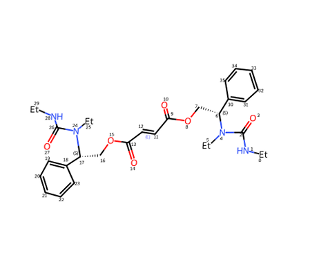 CCNC(=O)N(CC)[C@H](COC(=O)/C=C/C(=O)OC[C@H](c1ccccc1)N(CC)C(=O)NCC)c1ccccc1